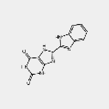 O=c1[nH]c(=O)c2[nH]c(-c3nc4ccccc4[nH]3)nc2[nH]1